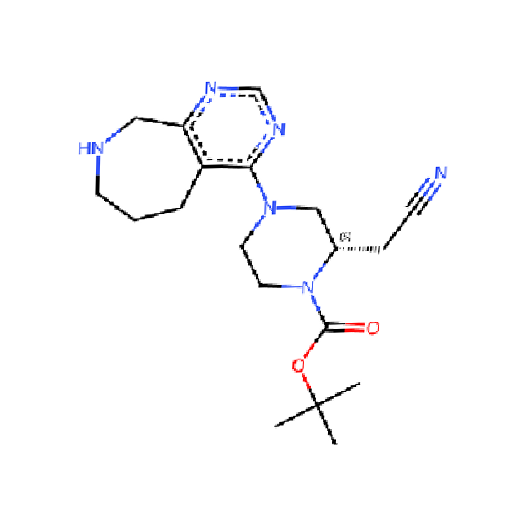 CC(C)(C)OC(=O)N1CCN(c2ncnc3c2CCCNC3)C[C@@H]1CC#N